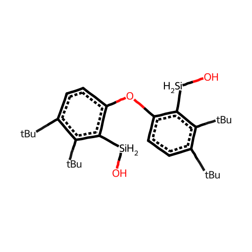 CC(C)(C)c1ccc(Oc2ccc(C(C)(C)C)c(C(C)(C)C)c2[SiH2]O)c([SiH2]O)c1C(C)(C)C